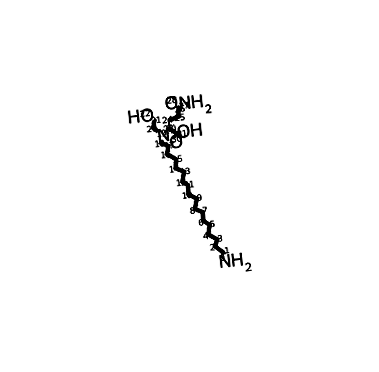 NCCCCCCCCCCCCCCCCCCN(CCO)[C@@H](CCC(N)=O)C(=O)O